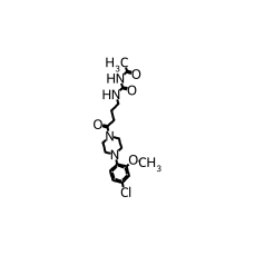 COc1cc(Cl)ccc1N1CCN(C(=O)CCCNC(=O)NC(C)=O)CC1